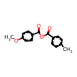 COc1ccc(C(=O)OC(=O)c2ccc(C)cc2)cc1